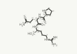 N=C(N)NCCC[C@H](NC(=O)[C@H](CCC(N)=O)NC(=O)[C@@H]1CCCN1)C(=O)O